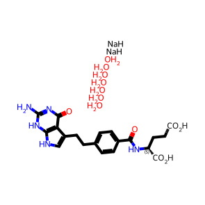 Nc1nc(=O)c2c(CCc3ccc(C(=O)N[C@@H](CCC(=O)O)C(=O)O)cc3)c[nH]c2[nH]1.O.O.O.O.O.O.O.[NaH].[NaH]